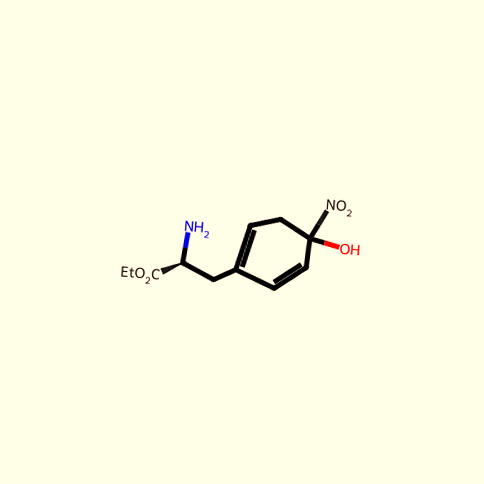 CCOC(=O)[C@@H](N)CC1=CCC(O)([N+](=O)[O-])C=C1